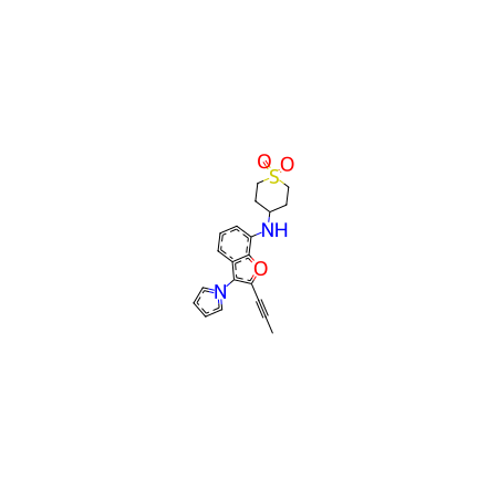 CC#Cc1oc2c(NC3CCS(=O)(=O)CC3)cccc2c1-n1cccc1